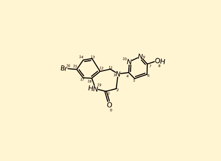 O=C1CN(c2ccc(O)nn2)Cc2ccc(Br)cc2N1